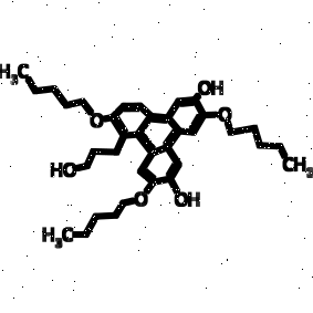 CCCCCOc1cc2c(cc1O)c1ccc(OCCCCC)c(CCCO)c1c1cc(OCCCCC)c(O)cc21